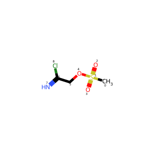 CS(=O)(=O)OCC(=N)Cl